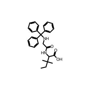 CCC(C)(C)C(NC(=O)CNC(c1ccccc1)(c1ccccc1)c1ccccc1)C(=O)O